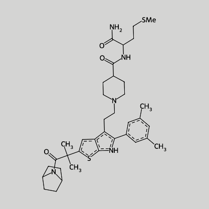 CSCCC(NC(=O)C1CCN(CCc2c(-c3cc(C)cc(C)c3)[nH]c3sc(C(C)(C)C(=O)N4C5CCC4CC5)cc23)CC1)C(N)=O